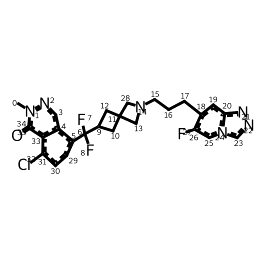 Cn1ncc2c(C(F)(F)C3CC4(C3)CN(CCCc3cc5nncn5cc3F)C4)ccc(Cl)c2c1=O